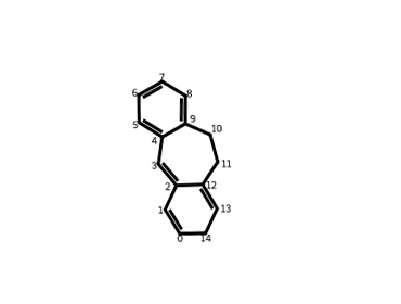 C1=CC2=Cc3ccccc3CCC2=CC1